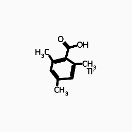 Cc1cc(C)c(C(=O)O)c(C)c1.[Tl]